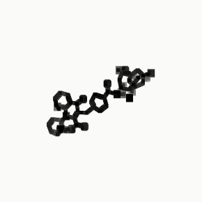 COC(=O)c1c(Cc2ccc(C(=O)N[C@@H]3CC[C@@]4(O)CC5C[C@H](C[C@@H]53)C4)cc2)c(=O)c2cccnc2n1-c1ccccc1